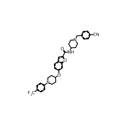 N#Cc1ccc(CN2CCC(NC(=O)c3cc4ccc(OC5CCN(c6ccc(C(F)(F)F)cc6)CC5)cc4o3)CC2)cc1